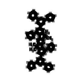 CC1(C)c2cc(-c3cc(-c4ccccc4)nc(-c4ccccc4)c3)cc(-c3ccccc3)c2-c2nc3c(nc21)-c1c(-c2ccccc2)cc(-c2cc(-c4ccccc4)nc(-c4ccccc4)c2)cc1C3(C)C